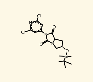 CC(C)(C)[Si](C)(C)O[C@@H]1CC2C(=O)N(c3cc(Cl)nc(Cl)c3)C(=O)N2C1